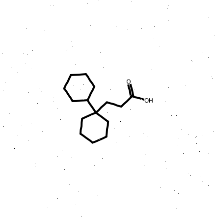 O=C(O)CCC1(C2CCCCC2)CCCCC1